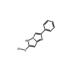 CCOc1cc2nc(-c3ccccc3)cn2[nH]1